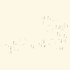 Cc1cc(S(=O)(=O)N2CCN(Cc3cccc(N4CCC(=O)NC4=O)c3)CC2)ccc1Nc1ncc(Br)c(Nc2cccc(F)c2C(N)=O)n1